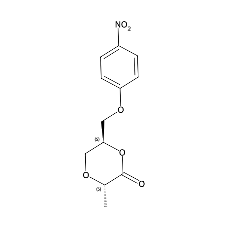 C[C@@H]1OC[C@@H](COc2ccc([N+](=O)[O-])cc2)OC1=O